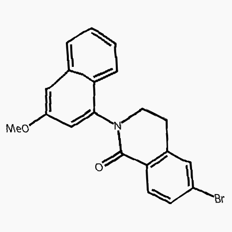 COc1cc(N2CCc3cc(Br)ccc3C2=O)c2ccccc2c1